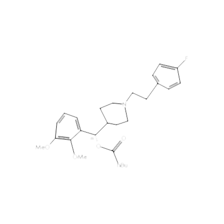 CCCCC(=O)O[C@H](c1cccc(OC)c1OC)C1CCN(CCc2ccc(F)cc2)CC1